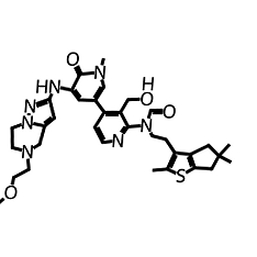 COCCN1CCn2nc(Nc3cc(-c4ccnc(N(C=O)CCc5c(C)sc6c5CC(C)(C)C6)c4CO)cn(C)c3=O)cc2C1